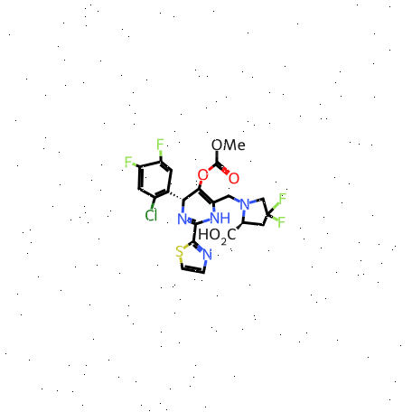 COC(=O)OC1=C(CN2CC(F)(F)C[C@H]2C(=O)O)NC(c2nccs2)=N[C@@H]1c1cc(F)c(F)cc1Cl